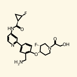 NCc1cc(-c2cc(NC(=O)[C@H]3C[C@H]3F)ccn2)ccc1O[C@H]1CCN(C(=O)CO)C[C@H]1F